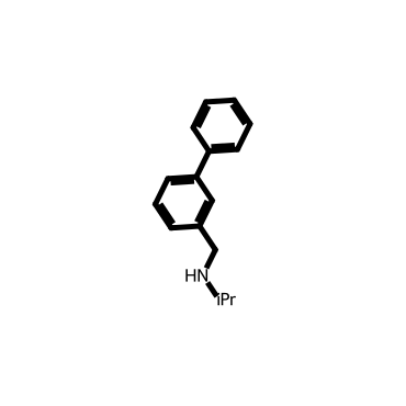 CC(C)NCc1cccc(-c2ccccc2)c1